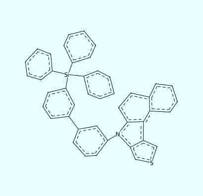 c1ccc([Si](c2ccccc2)(c2ccccc2)c2cccc(-c3cccc(-n4c5cscc5c5c6ccccc6ccc54)c3)c2)cc1